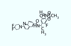 Cc1cc(C(C)NC(=O)c2ccc3nc(N4CCC(F)(F)CC4)ccc3c2)c(F)cc1NS(C)(=O)=O